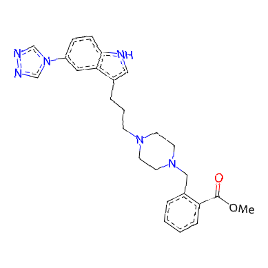 COC(=O)c1ccccc1CN1CCN(CCCc2c[nH]c3ccc(-n4cnnc4)cc23)CC1